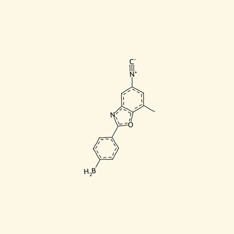 Bc1ccc(-c2nc3cc([N+]#[C-])cc(C)c3o2)cc1